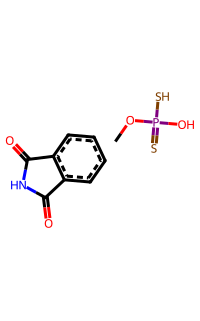 COP(O)(=S)S.O=C1NC(=O)c2ccccc21